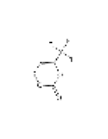 O=C1OCC=C(C(F)(F)F)O1